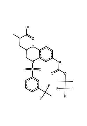 CC(CC1CN(S(=O)(=O)c2cccc(C(F)(F)F)c2)c2cc(NC(=O)OC(C)(C)C(F)(F)F)ccc2O1)C(=O)O